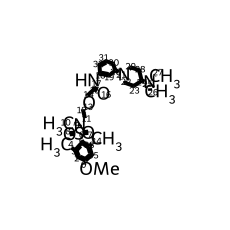 COc1cc(C)c(S(=O)(=O)N(C)CCOCC(=O)NC2=CC(N3CCC(N(C)C)CC3)CC=C2)c(C)c1